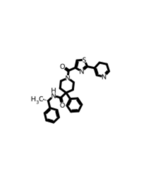 C[C@H](NC(=O)C1(c2ccccc2)CCN(C(=O)c2csc(C3=CN=CCC3)n2)CC1)c1ccccc1